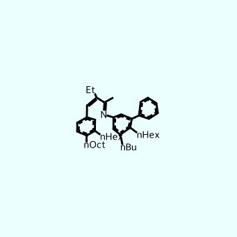 CCCCCCCCc1ccc(C=C(CC)C(C)=Nc2cc(CCCC)c(CCCCCC)c(-c3ccccc3)c2)cc1CCCCCC